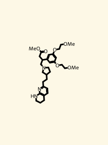 COCCOc1cc(OCCOC)cc(C(CC(=O)OC)CN2CCC(CCc3ccc4c(n3)NCCC4)C2)c1